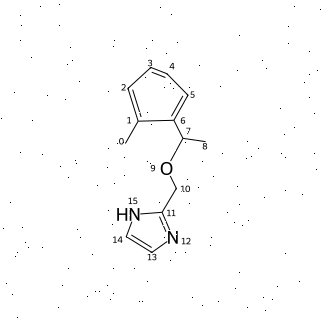 Cc1ccccc1C(C)OCc1ncc[nH]1